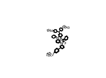 CC(C)(C)c1ccc(-c2cccc(N3c4cccc5c4B(c4ccc(C(c6ccc(C(C)(C)C)cc6)c6ccc(C(C)(C)C)cc6)cc4N5c4ccccc4)c4c3sc3ccccc43)c2)cc1